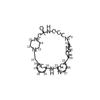 CN1CCCNC(=O)CN2CCN(CC2)Cc2cccc(c2)Nc2cc(ccn2)-c2ccc1nc2